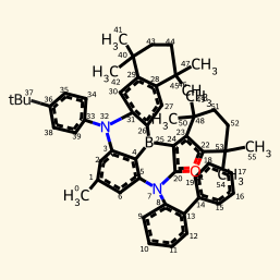 Cc1cc2c3c(c1)N(c1ccccc1-c1ccccc1)c1oc4c(c1B3c1cc3c(cc1N2c1ccc(C(C)(C)C)cc1)C(C)(C)CCC3(C)C)C(C)(C)CCC4(C)C